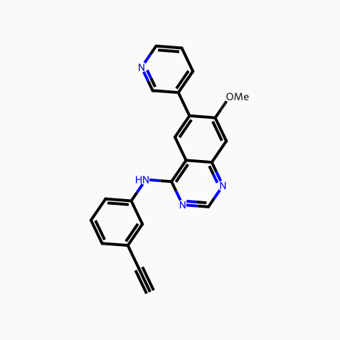 C#Cc1cccc(Nc2ncnc3cc(OC)c(-c4cccnc4)cc23)c1